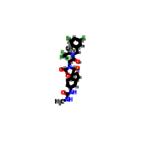 CNC(=O)Nc1ccc2c(c1)CCC21OC(=O)N(CC(=O)N(Cc2cc(F)cc(F)c2)[C@@H](C)C(F)(F)F)C1=O